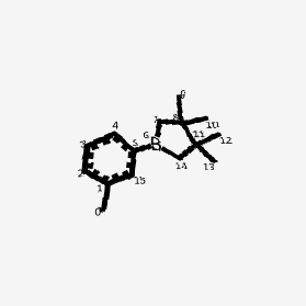 Cc1cccc(B2CC(C)(C)C(C)(C)C2)c1